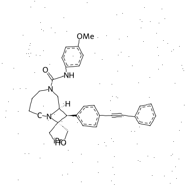 COc1ccc(NC(=O)N2CCCCN3[C@@H](C2)[C@@H](c2ccc(C#Cc4ccccc4)cc2)[C@@]3(CO)CC(C)C)cc1